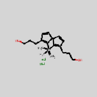 Cl.Cl.[CH3][Zr]([CH3])(=[SiH2])([C]1=C(CCCO)C=CC1)[C]1=C(CCCO)C=CC1